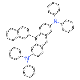 c1ccc(N(c2ccccc2)c2ccc3c(-c4ccc5ccccc5c4)c4cc(N(c5ccccc5)c5ccccc5)ccc4cc3c2)cc1